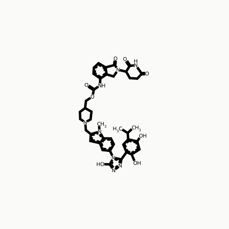 CC(C)c1cc(-c2nnc(O)n2-c2ccc3c(c2)cc(CN2CCC(COC(=O)Nc4cccc5c4CN(C4CCC(=O)NC4=O)C5=O)CC2)n3C)c(O)cc1O